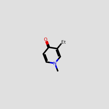 CCc1cn(C)ccc1=O